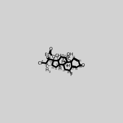 CCC(=O)O[C@@]1(C(=O)CCl)[C@@H](C)C[C@H]2[C@@H]3C[C@H](F)C4=CC(=O)C=C[C@]4(C)[C@@]3(F)[C@@H](O)C[C@@]21C